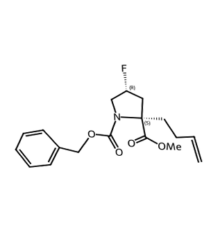 C=CCC[C@@]1(C(=O)OC)C[C@@H](F)CN1C(=O)OCc1ccccc1